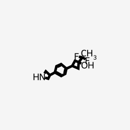 CC(F)(F)C1(O)CC(c2ccc(C3CNC3)cc2)C1